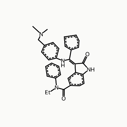 CCN(C(=O)c1ccc2c(c1)C(=C(Nc1ccc(CN(C)C)cc1)c1ccccc1)C(=O)N2)c1ccccc1